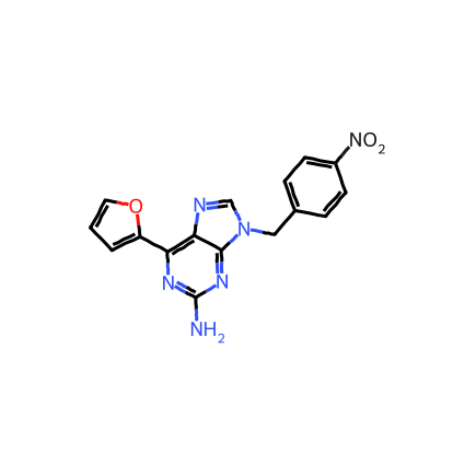 Nc1nc(-c2ccco2)c2ncn(Cc3ccc([N+](=O)[O-])cc3)c2n1